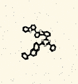 c1ccc(-c2ccc3cc(-c4nc(-c5ccccc5)nc(-c5cccc6oc7c(-c8cccc9c8oc8ccccc89)cccc7c56)n4)ccc3c2)cc1